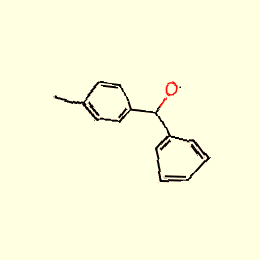 Cc1ccc(C([O])c2ccccc2)cc1